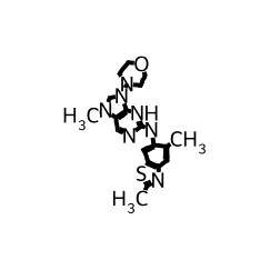 Cc1nc2cc(C)c(Nc3ncc4c(n3)N(N3CCOCC3)CN4C)cc2s1